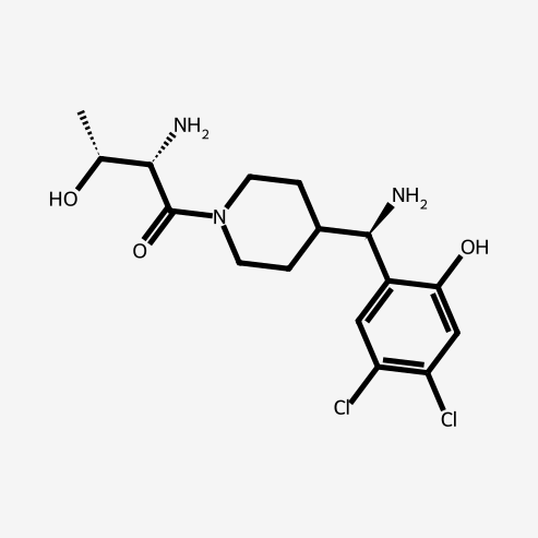 C[C@@H](O)[C@H](N)C(=O)N1CCC([C@@H](N)c2cc(Cl)c(Cl)cc2O)CC1